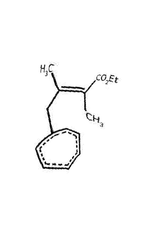 CCOC(=O)C(C)=C(C)Cc1ccccc1